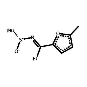 CC/C(=N\[S@+]([O-])C(C)(C)C)c1ccc(C)o1